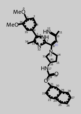 COc1ccc(-c2[nH]c(/C(=C\C(C)=N)N3CC[C@@H](NC(=O)Oc4ccc5ccccc5c4)C3)nc2C)cc1OC